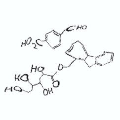 O=C(OCc1cccc2c1Cc1ccccc1-2)C(O)C(O)C(O)CO.O=Cc1ccc(C(=O)O)cc1